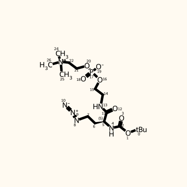 CC(C)(C)OC(=O)N[C@@H](CCN=[N+]=[N-])C(=O)NCCOP(=O)([O-])OCC[N+](C)(C)C